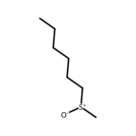 CCCCCC[S+](C)[O-]